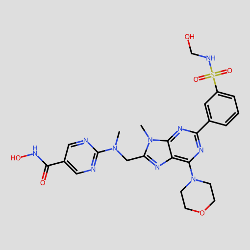 CN(Cc1nc2c(N3CCOCC3)nc(-c3cccc(S(=O)(=O)NCO)c3)nc2n1C)c1ncc(C(=O)NO)cn1